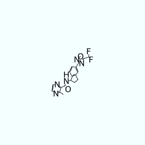 Cc1nccnc1C(=O)NC1CCc2cc(-c3noc(C(F)F)n3)ccc21